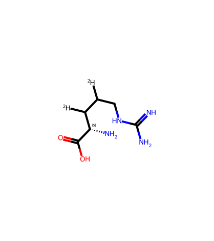 [2H]C(CNC(=N)N)C([2H])[C@H](N)C(=O)O